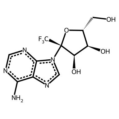 Nc1ncnc2c1ncn2[C@]1(C(F)(F)F)O[C@H](CO)[C@@H](O)[C@H]1O